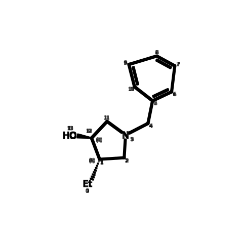 CC[C@H]1CN(Cc2ccccc2)C[C@@H]1O